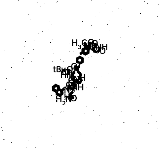 Cn1c(=O)n(C2CCC(=O)NC2=O)c2ccc(C[C@H]3CC[C@@H](CC(=O)N4CC[C@H]5CC[C@@H](C(=O)N[C@@H](CCC(N)=O)C(=O)NCc6cccc7ccccc67)N5C(=O)[C@@H](NC(=O)OC(C)(C)C)C4)CC3)cc21